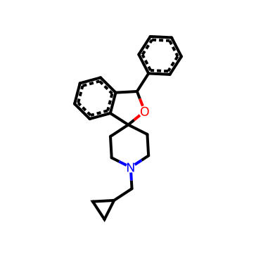 c1ccc(C2OC3(CCN(CC4CC4)CC3)c3ccccc32)cc1